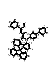 C=C/C(=C\C(C)=C(/C)N(c1ccc(-c2ccccc2)cc1)c1cccc2c1-c1ccccc1C21c2ccccc2-c2ccccc21)c1ccccc1